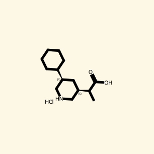 CC(C(=O)O)[C@H]1CNC[C@@H](C2CCCCC2)C1.Cl